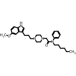 CCCCCCN(C(=O)CN1CCN(CCCc2c[nH]c3ccc(OC)cc23)CC1)c1ccccc1